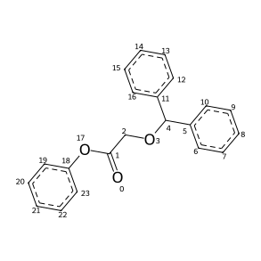 O=C(COC(c1ccccc1)c1ccccc1)Oc1ccccc1